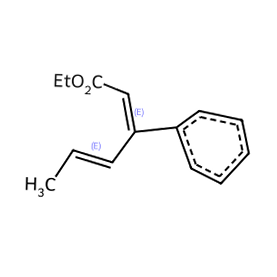 C/C=C/C(=C\C(=O)OCC)c1ccccc1